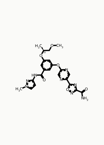 COC[C@H](C)Oc1cc(Oc2cnc(-c3nc(C(N)=O)no3)cn2)cc(C(=O)Nc2ccn(C)n2)c1